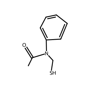 CC(=O)N(CS)c1ccccc1